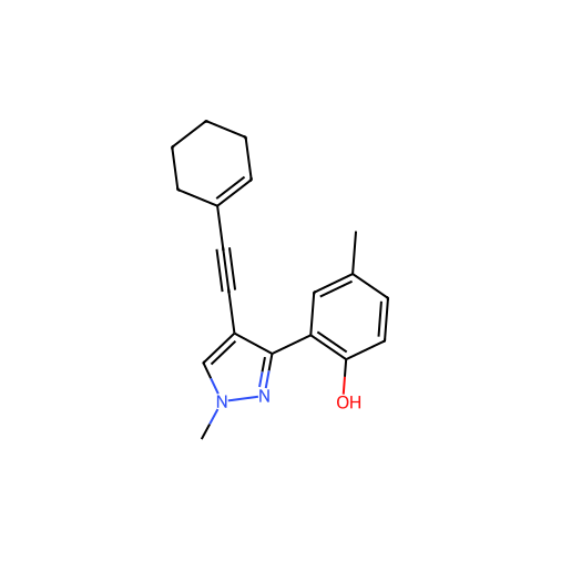 Cc1ccc(O)c(-c2nn(C)cc2C#CC2=CCCCC2)c1